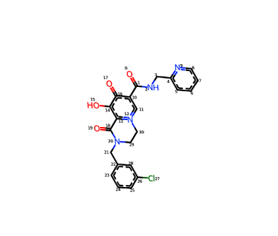 O=C(NCc1ccccn1)c1cn2c(c(O)c1=O)C(=O)N(Cc1cccc(Cl)c1)CC2